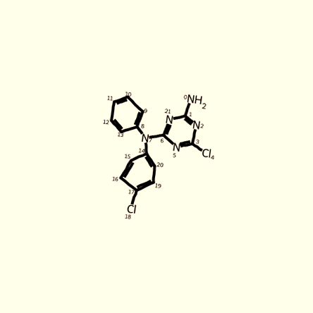 Nc1nc(Cl)nc(N(c2ccccc2)c2ccc(Cl)cc2)n1